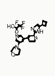 O=C(O)C(F)(F)F.c1cc(-c2cncc(N3CCOCC3)c2)cc(-c2ncc(C3CCC3)[nH]2)n1